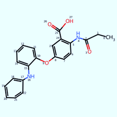 CCC(=O)Nc1ccc(Oc2ccccc2Nc2ccccc2)cc1C(=O)O